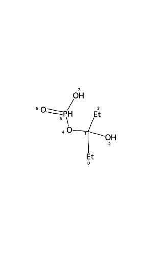 CCC(O)(CC)O[PH](=O)O